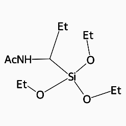 CCO[Si](OCC)(OCC)C(CC)NC(C)=O